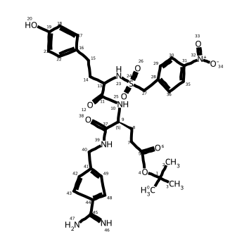 CC(C)(C)OC(=O)CC[C@H](NC(=O)C(CCc1ccc(O)cc1)NS(=O)(=O)Cc1ccc([N+](=O)[O-])cc1)C(=O)NCc1ccc(C(=N)N)cc1